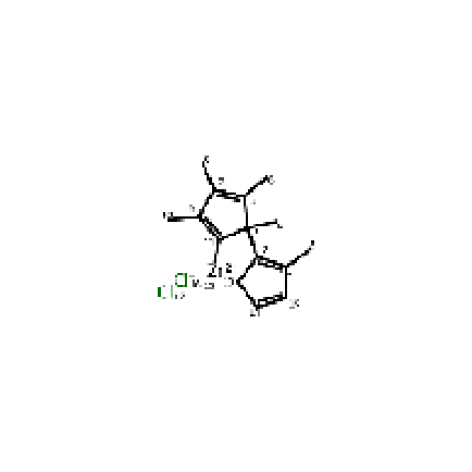 CC1=C(C2(C)C(C)=C(C)C(C)=[C]2[Zr+2])CC=C1.[Cl-].[Cl-]